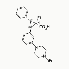 CC[C@@]1(C(=O)O)[C@@H](c2ccccc2)[C@@H]1c1cccc(N2CCN(C(C)C)CC2)c1